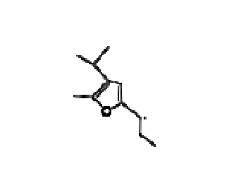 CC[CH]c1cc(C(C)C)c(C)o1